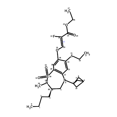 CCCC[C@@H]1CN(C23CC(C2)C3)c2cc(SCC)c(O/C=C(\F)C(=O)OCC)cc2S(=O)(=O)N1C